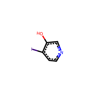 Oc1cnccc1I